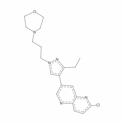 CCc1nn(CCCN2CCOCC2)cc1-c1cnc2ccc(Cl)nc2c1